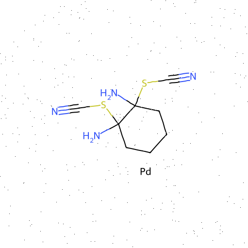 N#CSC1(N)CCCCC1(N)SC#N.[Pd]